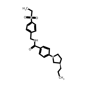 CCC[C@@H]1CCN(c2ccc(C(=O)NCc3ccc(S(=O)(=O)CC)cc3)cc2)C1